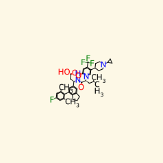 Cc1cc(F)cc(C)c1-c1cc([C@@H](CC(=O)O)NC(=O)[C@H](CC(C)C)n2cc(C3CCN(C4CC4)CC3)c(C(F)(F)F)cc2=O)cc2c1CCC2